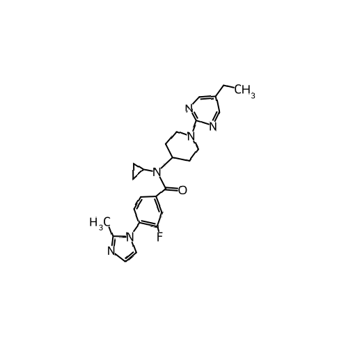 CCc1cnc(N2CCC(N(C(=O)c3ccc(-n4ccnc4C)c(F)c3)C3CC3)CC2)nc1